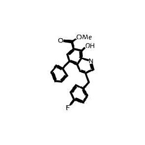 COC(=O)c1cc(-c2ccccc2)c2cc(Cc3ccc(F)cc3)cnc2c1O